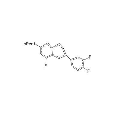 CCCCCc1cc(F)c2cc(-c3ccc(F)c(F)c3)ccc2c1